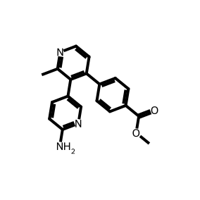 COC(=O)c1ccc(-c2ccnc(C)c2-c2ccc(N)nc2)cc1